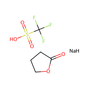 O=C1CCCO1.O=S(=O)(O)C(F)(F)F.[NaH]